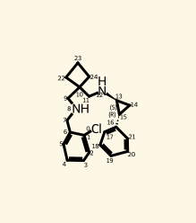 Clc1ccccc1CNCC1(CN[C@H]2C[C@@H]2c2ccccc2)CCC1